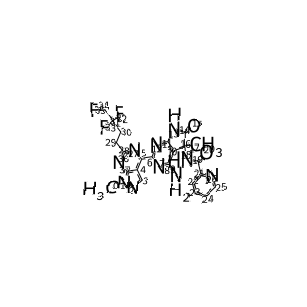 Cn1ncc2c(-c3nc(N)c4c(n3)NC(=O)C4(C)NC(=O)c3ccccn3)nc(CCC(F)(F)CF)nc21